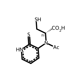 CC(=O)N(c1ccc[nH]c1=S)[C@H](CS)C(=O)O